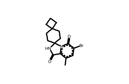 Cc1cc(Br)c(=O)n2c1C(=O)NC21CCC2(CCC2)CC1